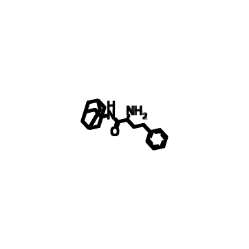 N[C@@H](CCc1ccccc1)C(=O)NC12CC3CC(CC(C3)C1)C2